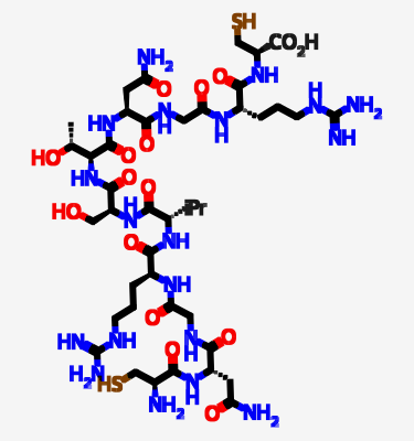 CC(C)[C@H](NC(=O)[C@H](CCCNC(=N)N)NC(=O)CNC(=O)[C@H](CC(N)=O)NC(=O)[C@@H](N)CS)C(=O)N[C@@H](CO)C(=O)N[C@H](C(=O)N[C@@H](CC(N)=O)C(=O)NCC(=O)N[C@@H](CCCNC(=N)N)C(=O)N[C@@H](CS)C(=O)O)[C@@H](C)O